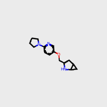 c1cc(N2CCCC2)ncc1OCC1CC2CC2N1